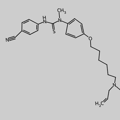 C=CCN(C)CCCCCCOc1ccc(N(C)C(=S)Nc2ccc(C#N)cc2)cc1